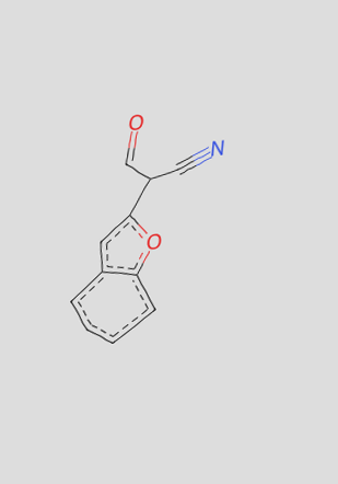 N#CC(C=O)c1cc2ccccc2o1